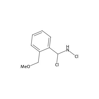 COCc1ccccc1C(Cl)NCl